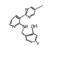 Cc1cnc(-c2cccnc2NCc2ccc(F)cc2O)nc1